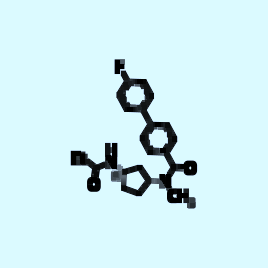 CCC(=O)N[C@H]1CCC(N(C)C(=O)c2ccc(-c3ccc(F)cc3)cc2)C1